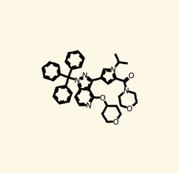 CC(C)n1cc(-c2nn(C(c3ccccc3)(c3ccccc3)c3ccccc3)c3ccnc(OC4CCOCC4)c23)cc1C(=O)N1CCOCC1